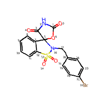 O=C1NC(=O)C2(O1)c1ccccc1S(=O)(=O)N2Cc1ccc(Br)cc1